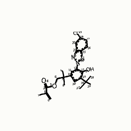 C=C(C)C(=O)OCC(C)(C)c1cc(-n2nc3ccc(Cl)cc3n2)c(O)c(C(C)(C)C)c1